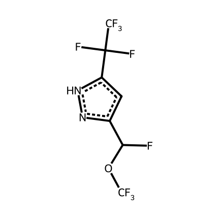 FC(OC(F)(F)F)c1cc(C(F)(F)C(F)(F)F)[nH]n1